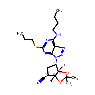 CCCCNc1nc(SCCC)nc2c1nnn2[C@@H]1C[C@H](C#N)[C@H]2OC(C)(C)O[C@H]21